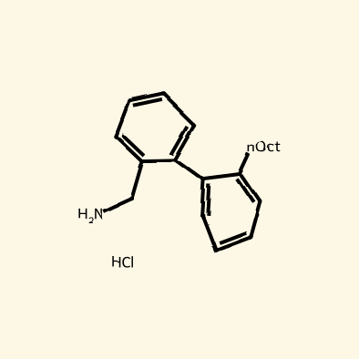 CCCCCCCCc1ccccc1-c1ccccc1CN.Cl